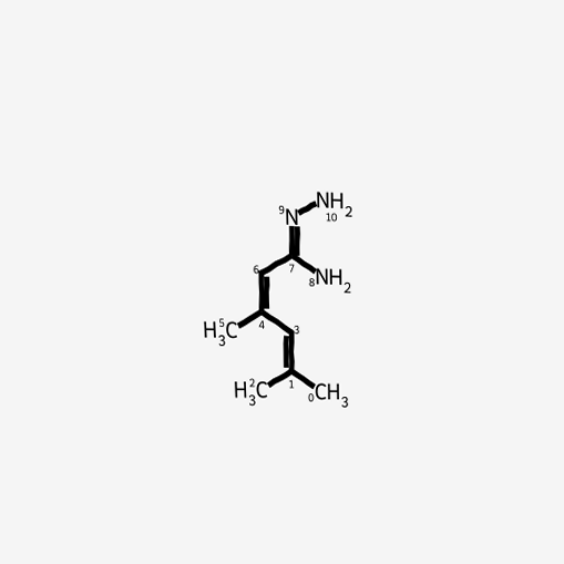 CC(C)=C/C(C)=C\C(N)=N\N